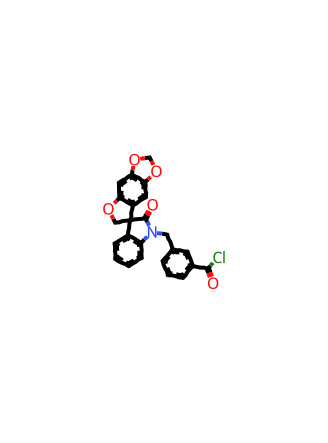 O=C(Cl)c1cccc(CN2C(=O)C3(COc4cc5c(cc43)OCO5)c3ccccc32)c1